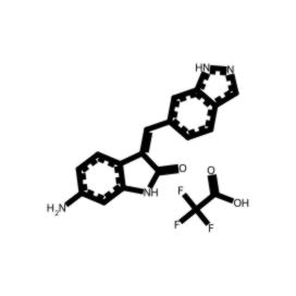 Nc1ccc2c(c1)NC(=O)C2=Cc1ccc2cn[nH]c2c1.O=C(O)C(F)(F)F